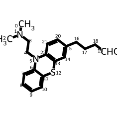 CN(C)CCN1c2ccccc2Sc2cc(CCCC=O)ccc21